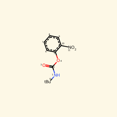 CC(C)(C)NC(=O)Oc1ccccc1[N+](=O)[O-]